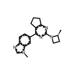 C[C@H]1CCN1c1nc2c(c(-c3ccc4ncn(C)c4c3)n1)CCC2